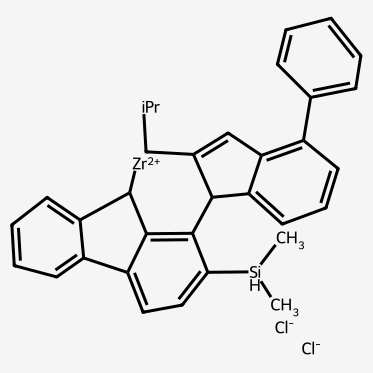 CC(C)CC1=Cc2c(-c3ccccc3)cccc2C1c1c([SiH](C)C)ccc2c1[CH]([Zr+2])c1ccccc1-2.[Cl-].[Cl-]